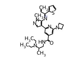 C=C/C(=N\c1c(-c2cc(C(=O)NCC(C)N(CC)CC)cc(N3CCC3)n2)cnn1C)c1cccs1